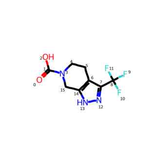 O=C(O)N1CCc2c(C(F)(F)F)n[nH]c2C1